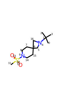 CC(C)(C)N1CC2(CCN(S(C)(=O)=O)CC2)C1